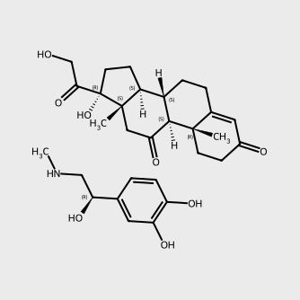 CNC[C@H](O)c1ccc(O)c(O)c1.C[C@]12CCC(=O)C=C1CC[C@@H]1[C@@H]2C(=O)C[C@@]2(C)[C@H]1CC[C@]2(O)C(=O)CO